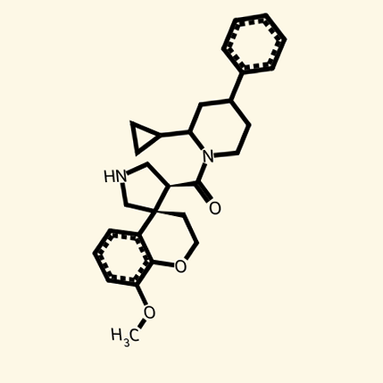 COc1cccc2c1OCC[C@]21CNC[C@H]1C(=O)N1CCC(c2ccccc2)CC1C1CC1